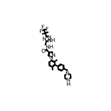 Cc1ccc(-n2cc(C(=O)NCc3nc(C(C)(C)C(F)(F)F)n[nH]3)cn2)c(C)c1-c1ccc(CN2CCNCC2)cc1